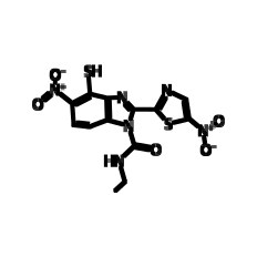 CCNC(=O)n1c(-c2ncc([N+](=O)[O-])s2)nc2c(S)c([N+](=O)[O-])ccc21